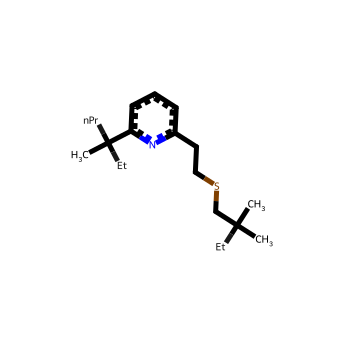 CCCC(C)(CC)c1cccc(CCSCC(C)(C)CC)n1